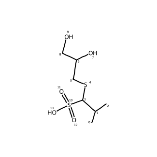 CC(C)C(SCC(O)CO)S(=O)(=O)O